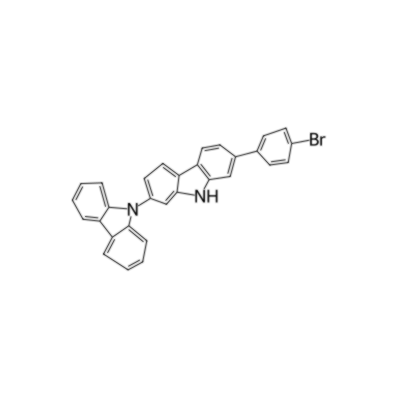 Brc1ccc(-c2ccc3c(c2)[nH]c2cc(-n4c5ccccc5c5ccccc54)ccc23)cc1